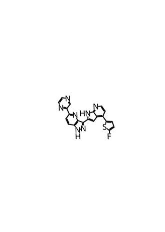 Fc1ccc(-c2ccnc3[nH]c(-c4n[nH]c5ccc(-c6cnccn6)nc45)cc23)s1